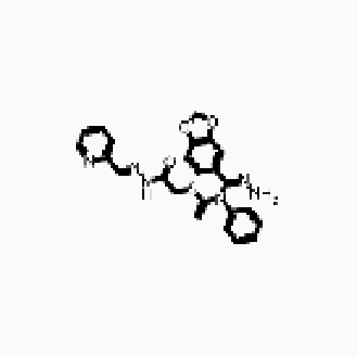 C=C(SCC(=O)N/N=C/c1ccccn1)N(/C(=N\N)c1ccc2c(c1)OCO2)c1ccccc1